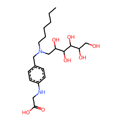 CCCCCCN(Cc1ccc(NCC(=O)O)cc1)CC(O)C(O)C(O)C(O)CO